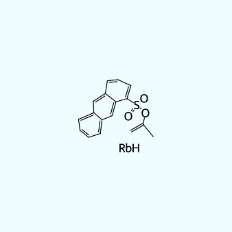 C=C(C)OS(=O)(=O)c1cccc2cc3ccccc3cc12.[RbH]